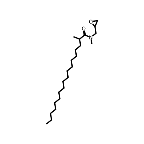 CCCCCCCCCCCCCCCCC(C)C(=O)N(C)CC1CO1